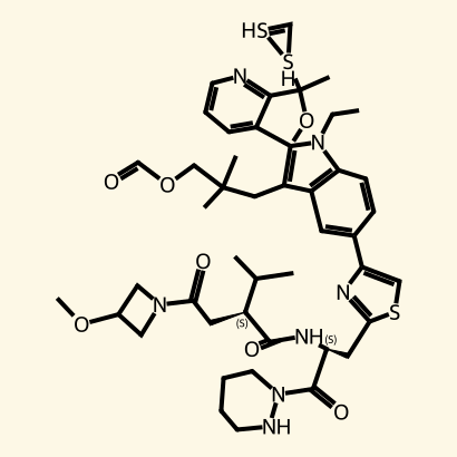 CCn1c(-c2cccnc2C(C)(OC)[SH]2C=[SH]2)c(CC(C)(C)COC=O)c2cc(-c3csc(C[C@H](NC(=O)[C@@H](CC(=O)N4CC(OC)C4)C(C)C)C(=O)N4CCCCN4)n3)ccc21